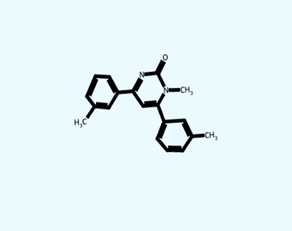 Cc1cccc(-c2cc(-c3cccc(C)c3)n(C)c(=O)n2)c1